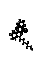 CCCCCCCCc1ccccc1-c1cc(=O)c2ccccc2o1